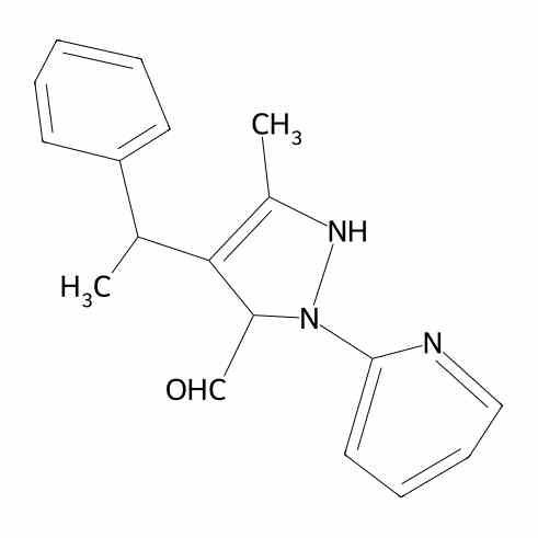 CC1=C(C(C)c2ccccc2)C(C=O)N(c2ccccn2)N1